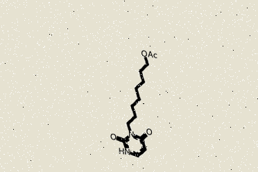 CC(=O)OCCCCCCCCn1c(=O)cc[nH]c1=O